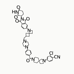 N#Cc1ccc(N2CCC3(CCN(C(=O)c4ccc(N5CCN(CC6CC7(CCN7c7ccc8c(c7)C(=O)N(C7CCC(=O)NC7=O)C8=O)C6)CC5)cc4)CC3)C2)cc1Cl